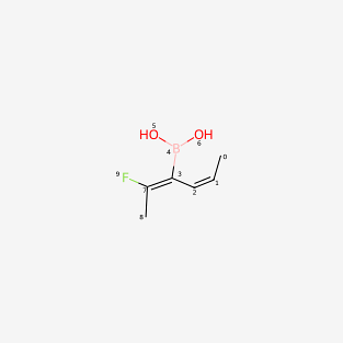 C/C=C\C(B(O)O)=C(/C)F